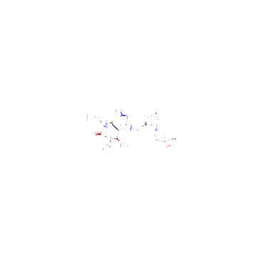 Cn1c(=O)c2c(ncn2CC2SCCN2CC2CO2)n(C)c1=O